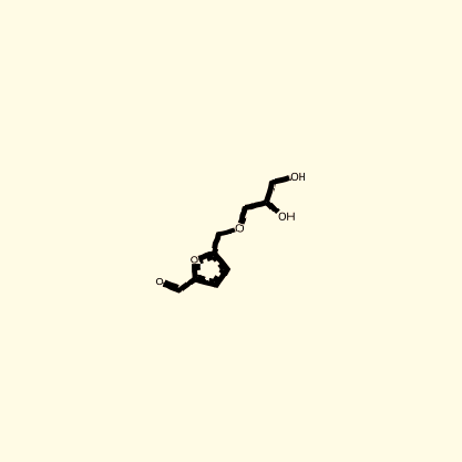 O=Cc1ccc(COCC(O)CO)o1